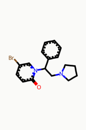 O=c1ccc(Br)cn1C(CN1CCCC1)c1ccccc1